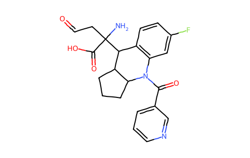 NC(CC=O)(C(=O)O)C1c2ccc(F)cc2N(C(=O)c2cccnc2)C2CCCC21